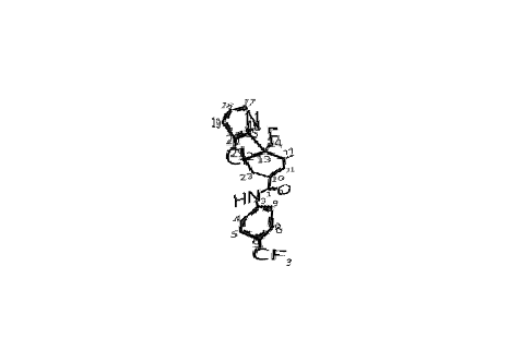 O=C(Nc1ccc(C(F)(F)F)cc1)C1=CC[C@@](F)(c2ncccc2Cl)CC1